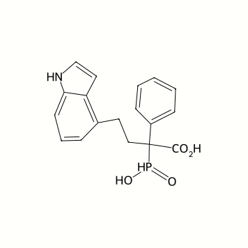 O=C(O)C(CCc1cccc2[nH]ccc12)(c1ccccc1)[PH](=O)O